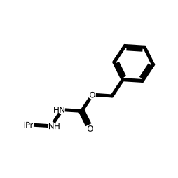 CC(C)NNC(=O)OCc1ccccc1